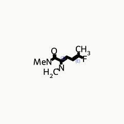 C=N/C(=C\C=C(/C)F)C(=O)NC